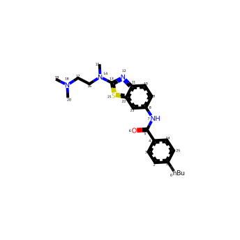 CCCCc1ccc(C(=O)Nc2ccc3nc(N(C)CCN(C)C)sc3c2)cc1